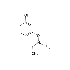 CCN(C)Oc1cccc(O)c1